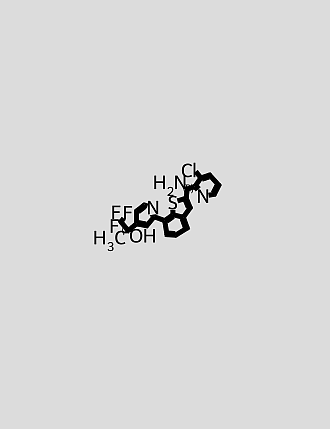 C[C@@](O)(c1ccnc(-c2cccc3cc([C@H](N)c4ncccc4Cl)sc23)c1)C(F)(F)F